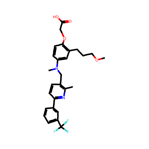 COCCCc1cc(N(C)Cc2ccc(-c3cccc(C(F)(F)F)c3)nc2C)ccc1OCC(=O)O